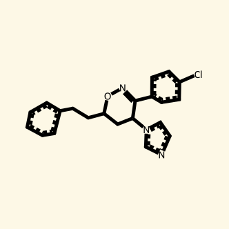 Clc1ccc(C2=NOC(CCc3ccccc3)CC2n2ccnc2)cc1